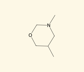 CC1COCN(C)C1